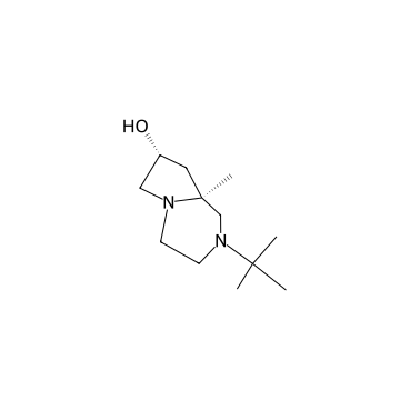 CC(C)(C)N1CCN2C[C@H](O)C[C@@]2(C)C1